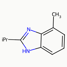 Cc1cccc2[nH]c(C(C)C)nc12